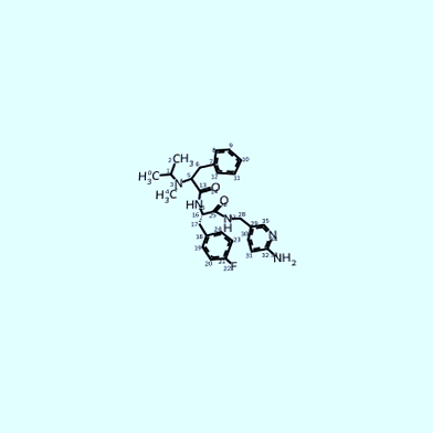 CC(C)N(C)C(Cc1ccccc1)C(=O)N[C@@H](Cc1ccc(F)cc1)C(=O)NCc1ccc(N)nc1